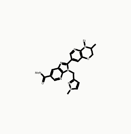 CCN1c2ncc(-c3nc4cc(C(=O)NC)cnc4n3Cc3ccn(C)n3)cc2OCC1C